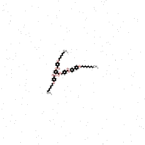 CCCCCCCCCCOc1ccc(-c2ccc(OC(=O)c3ccc(COC(=O)c4cc(OC(=O)c5ccc(OCCCCCCCC)cc5)ccc4OC(=O)c4ccc(OCCCCCCCC)cc4)cc3)cc2)cc1